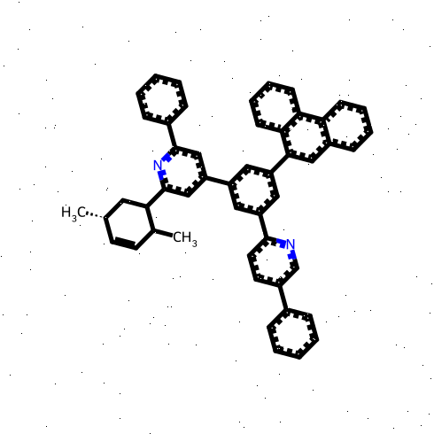 CC1C=C[C@H](C)CC1c1cc(-c2cc(-c3ccc(-c4ccccc4)cn3)cc(-c3cc4ccccc4c4ccccc34)c2)cc(-c2ccccc2)n1